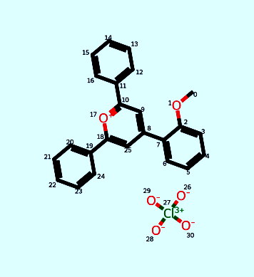 COc1ccccc1-c1cc(-c2ccccc2)[o+]c(-c2ccccc2)c1.[O-][Cl+3]([O-])([O-])[O-]